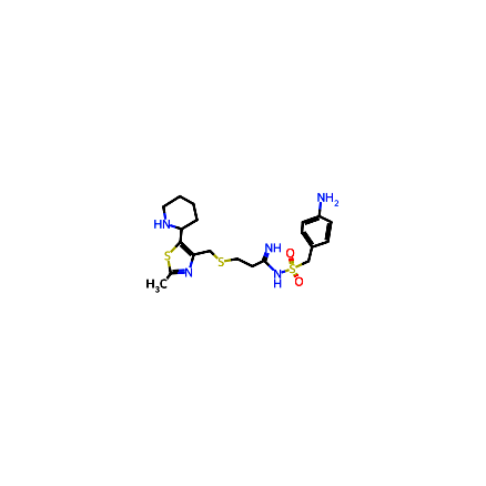 Cc1nc(CSCCC(=N)NS(=O)(=O)Cc2ccc(N)cc2)c(C2CCCCN2)s1